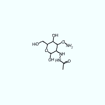 CC(=O)NNC1C(O)OC(CO)C(O)C1ON